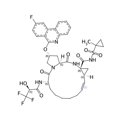 CC1(S(=O)(=O)NC(=O)[C@@]23C[C@H]2/C=C\CCCCC[C@H](NC(=O)[C@H](O)C(F)(F)F)C(=O)N2C[C@H](Oc4nc5ccccc5c5cc(F)ccc45)C[C@H]2C(=O)N3)CC1